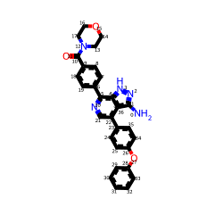 Nc1n[nH]c2c(-c3ccc(C(=O)N4CCOCC4)cc3)ncc(-c3ccc(Oc4ccccc4)cc3)c12